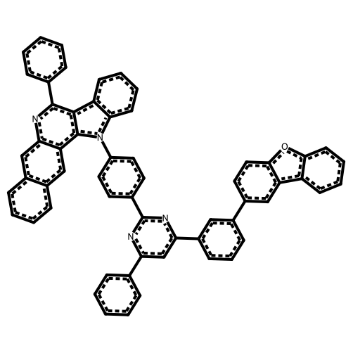 c1ccc(-c2cc(-c3cccc(-c4ccc5oc6ccccc6c5c4)c3)nc(-c3ccc(-n4c5ccccc5c5c(-c6ccccc6)nc6cc7ccccc7cc6c54)cc3)n2)cc1